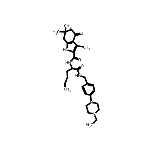 CCCCC(NC(=O)c1[nH]c2c(c1C)C(=O)CC(C)(C)C2)C(=O)NCc1ccc(N2CCN(CC)CC2)cc1